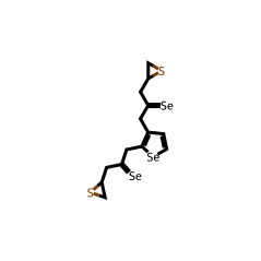 [Se]=C(Cc1cc[se]c1CC(=[Se])CC1CS1)CC1CS1